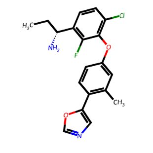 CC[C@@H](N)c1ccc(Cl)c(Oc2ccc(-c3cnco3)c(C)c2)c1F